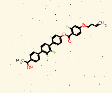 C=CCCOc1ccc(C(=O)Oc2ccc(-c3ccc(-c4ccc(C(C)O)cc4)c(F)c3F)cc2)c(F)c1